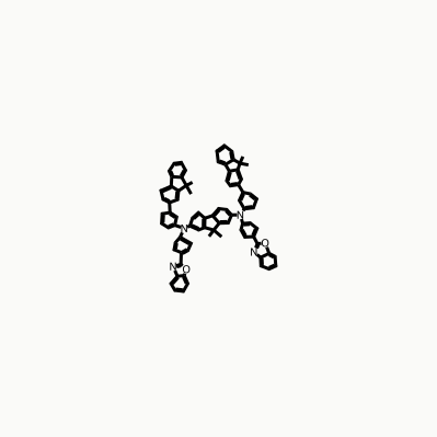 CC1(C)c2ccccc2-c2ccc(-c3cccc(N(c4ccc(-c5nc6ccccc6o5)cc4)c4ccc5c(c4)C(C)(C)c4cc(N(c6ccc(-c7nc8ccccc8o7)cc6)c6cccc(-c7ccc8c(c7)C(C)(C)c7ccccc7-8)c6)ccc4-5)c3)cc21